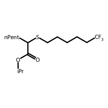 CCCCCC(SCCCCCC(F)(F)F)C(=O)OC(C)C